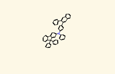 c1ccc(-c2cc3ccccc3cc2-c2ccc(N(c3ccccc3)c3ccc4c(c3)C(c3ccccc3)(c3ccccc3)c3ccccc3-4)cc2)cc1